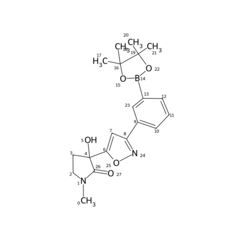 CN1CCC(O)(c2cc(-c3cccc(B4OC(C)(C)C(C)(C)O4)c3)no2)C1=O